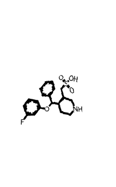 O=S(=O)(O)CC1CNCCC1C(Oc1cccc(F)c1)c1ccccc1